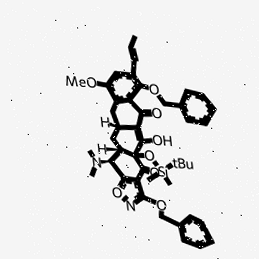 C/C=C/c1cc(OC)c2c(c1OCc1ccccc1)C(=O)C1=C(O)C3(O[Si](C)(C)C(C)(C)C)C(=O)c4c(OCc5ccccc5)noc4[C@@H](N(C)C)[C@@H]3C[C@@H]1C2